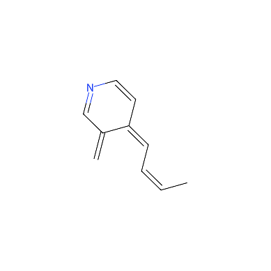 C=c1cncc/c1=C/C=C\C